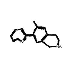 Cc1cc2c(cc1-c1ccccn1)CNCC2